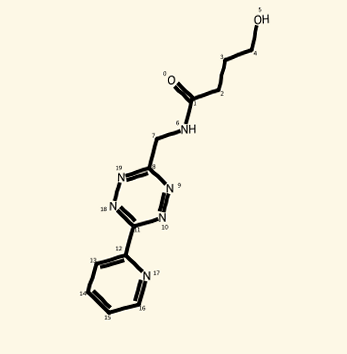 O=C(CCCO)NCc1nnc(-c2ccccn2)nn1